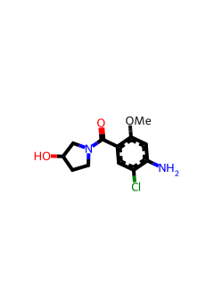 COc1cc(N)c(Cl)cc1C(=O)N1CCC(O)C1